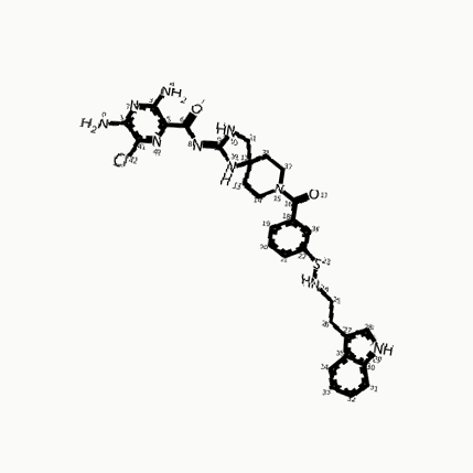 Nc1nc(N)c(C(=O)/N=C2\NCC3(CCN(C(=O)c4cccc(SNCCc5c[nH]c6ccccc56)c4)CC3)N2)nc1Cl